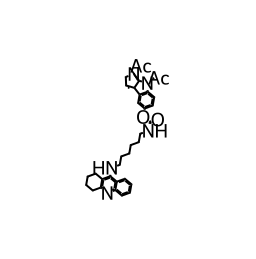 CC(=O)N1CC[C]2c3cc(OC(=O)NCCCCCCNc4c5c(nc6ccccc46)CCCC5)ccc3N(C(C)=O)C21